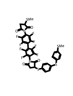 CSc1ccc(Sc2ccc(SC3CC(=O)N(c4c(F)c(F)c(-c5c(F)c(F)c(N6C(=O)CC(SC)C6=O)c(F)c5F)c(F)c4F)C3=O)cc2)cc1